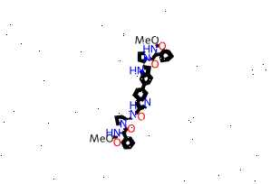 COC(=O)N[C@@H](C(=O)N1CCC[C@H]1CNC(=O)c1cnc2cc(-c3ccc4cc([C@@H]5CCCN5C(=O)[C@H](NC(=O)OC)c5ccccc5)[nH]c4c3)ccc2c1)c1ccccc1